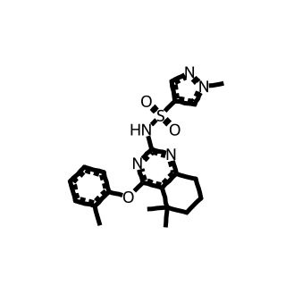 Cc1ccccc1Oc1nc(NS(=O)(=O)c2cnn(C)c2)nc2c1C(C)(C)CCC2